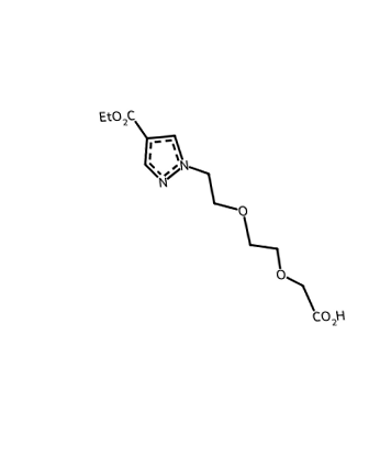 CCOC(=O)c1cnn(CCOCCOCC(=O)O)c1